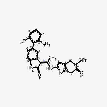 C/C(Nc1cc2n(n1)CC(=O)N(C(C)C)C2)=C1/C(=O)Nc2cnc(-c3c(C)cccc3F)cc21